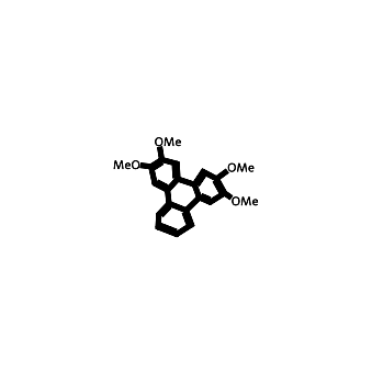 COc1cc2c3ccccc3c3cc(OC)c(OC)cc3c2cc1OC